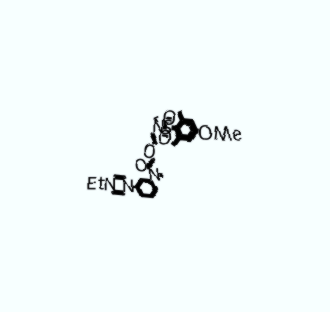 CCN1CCN([C@@H]2CCCC(N(C)C(=O)COCCN(C)S(=O)(=O)c3c(C)cc(OC)cc3C)C2)CC1